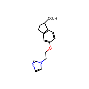 O=C(O)C1CCc2cc(OCCn3ccnc3)ccc21